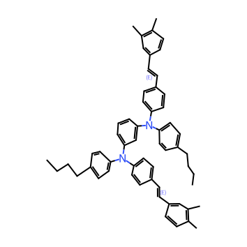 CCCCc1ccc(N(c2ccc(/C=C/c3ccc(C)c(C)c3)cc2)c2cccc(N(c3ccc(/C=C/c4ccc(C)c(C)c4)cc3)c3ccc(CCCC)cc3)c2)cc1